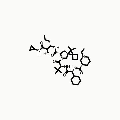 CCC[C@H](NC(=O)[C@@H]1C[C@@]2(CN1C(=O)[C@@H](NC(=O)[C@@H](NC(=O)[C@@H]1CCCN(CC)C1)C1CCCCC1)C(C)(C)C)C(C)(C)C21CCC1)C(O)C(=O)NC1CC1